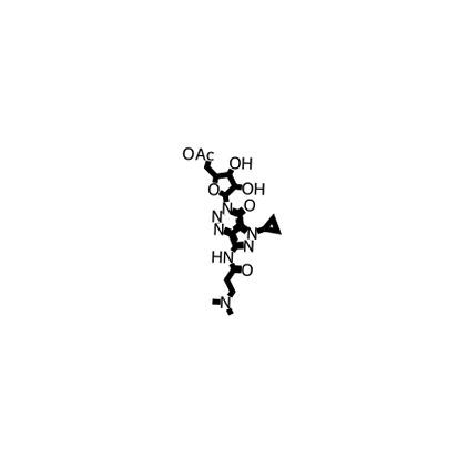 CC(=O)OCC1OC(n2nnc3c(NC(=O)CCN(C)C)nn(C4CC4)c3c2=O)C(O)C1O